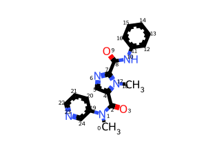 CN(C(=O)c1cnc(C(=O)Nc2ccccc2)n1C)c1cccnc1